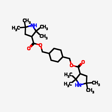 CC1(C)CC(C(=O)OCC2CCC(COC(=O)C3CC(C)(C)NC3(C)C)CC2)C(C)(C)N1